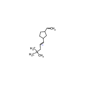 C=CC1CCC(/C=C/C[Si](C)(C)C)C1